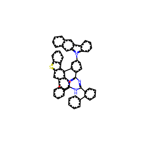 c1ccc(-c2ccccc2C2=NC(c3ccc(-n4c5ccccc5c5cc6ccccc6cc54)cc3-c3c4ccccc4cc4sc5ccccc5c34)=NC(c3ccccc3)N2)cc1